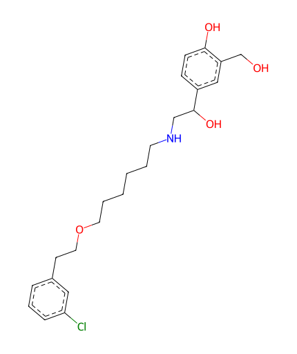 OCc1cc(C(O)CNCCCCCCOCCc2cccc(Cl)c2)ccc1O